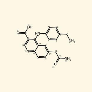 NCc1ccc(Nc2c(C(=O)O)cnc3ccc(CC(N)=O)cc23)cc1